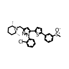 C[C@@H]1CCC[C@H](C)N1Cc1cc(-c2ccc(-c3cccc([S+](C)[O-])c3)s2)n(-c2ccccc2Cl)n1